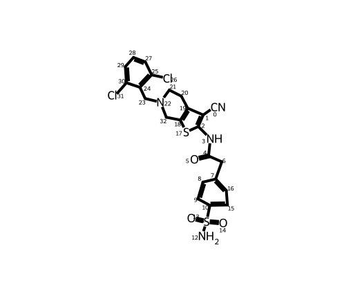 N#Cc1c(NC(=O)Cc2ccc(S(N)(=O)=O)cc2)sc2c1CCN(Cc1c(Cl)cccc1Cl)C2